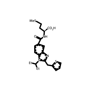 CCC(CC)n1c(Cc2cccs2)nc2cc(C(=O)N[C@@H](CCSC)C(=O)O)ccc21